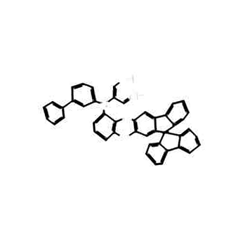 C=C/C(=C\C)N(c1cccc(-c2ccccc2)c1)c1cccc2c1Oc1cc3c(cc1O2)C1(c2ccccc2-c2ccccc21)c1ccccc1-3